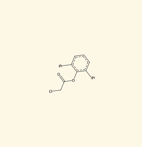 CC(C)c1cccc(C(C)C)c1OC(=O)CCl